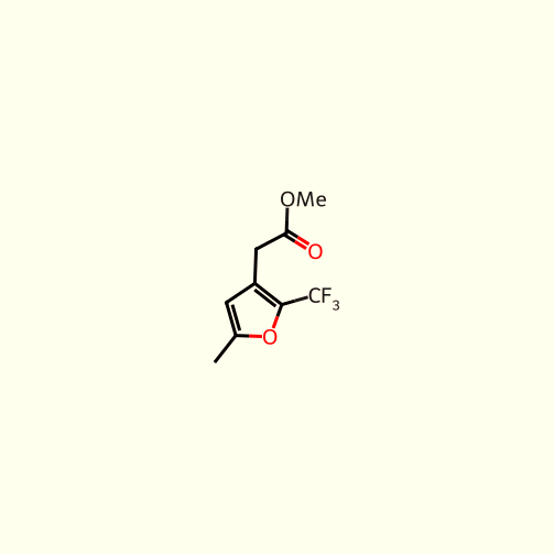 [CH2]OC(=O)Cc1cc(C)oc1C(F)(F)F